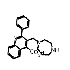 O=C(O)c1c(CN2CCCNCC2)c(-c2ccccc2)nc2ccccc12